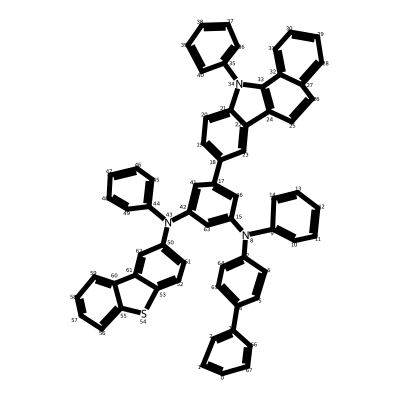 c1ccc(-c2ccc(N(c3ccccc3)c3cc(-c4ccc5c(c4)c4ccc6ccccc6c4n5-c4ccccc4)cc(N(c4ccccc4)c4ccc5sc6ccccc6c5c4)c3)cc2)cc1